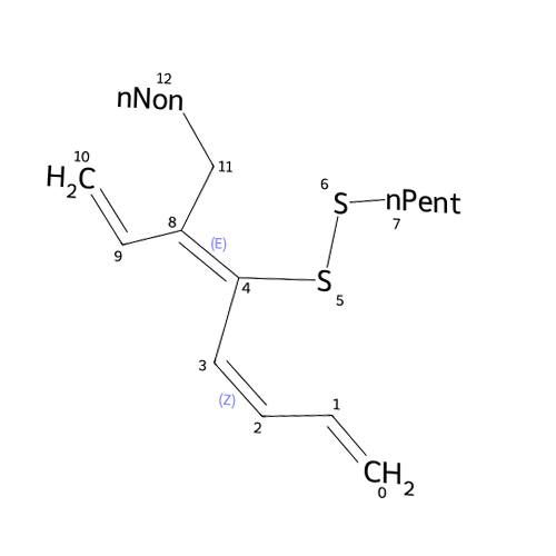 C=C/C=C\C(SSCCCCC)=C(/C=C)CCCCCCCCCC